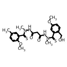 COc1ccc(CO)c(C(=S)N(C)NC(=O)CC(=O)NN(C)C(=S)c2cc(C)ccc2OC)c1